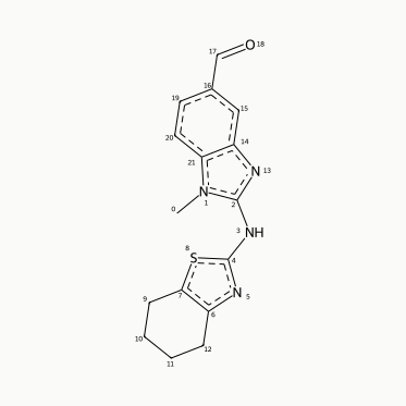 Cn1c(Nc2nc3c(s2)CCCC3)nc2cc(C=O)ccc21